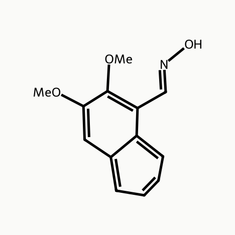 COc1cc2ccccc2c(C=NO)c1OC